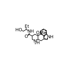 CCC(CO)NC(=O)C1CN(C)[C@@H]2Cc3c[nH]c4cccc(c34)[C@@]2(OC)C1